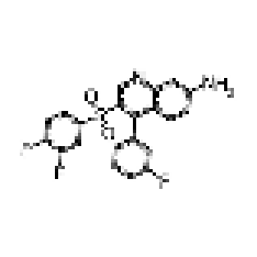 Nc1ccc2c(-c3cccc(F)c3)c(S(=O)(=O)c3ccc(F)c(F)c3)cnc2c1